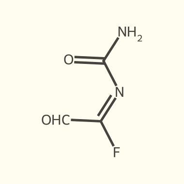 NC(=O)/N=C(/F)C=O